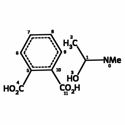 CNC(C)O.O=C(O)c1ccccc1C(=O)O